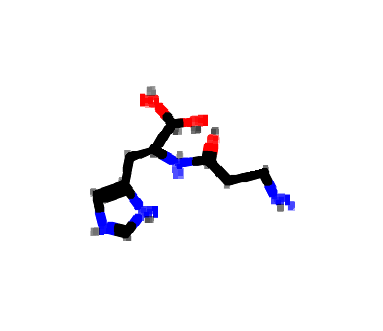 NCCC(=O)N[C@@H](Cc1cnc[nH]1)C(O)O